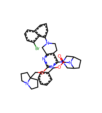 O=C(OCc1ccccc1)N1C2CCC1CN(c1nc(OCC34CCCN3CCC4)nc3c1CCN(c1cccc4cccc(Br)c14)C3)C2